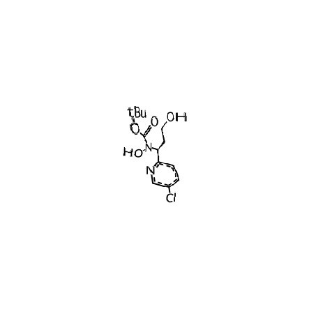 CC(C)(C)OC(=O)N(O)[C@@H](CCO)c1ccc(Cl)cn1